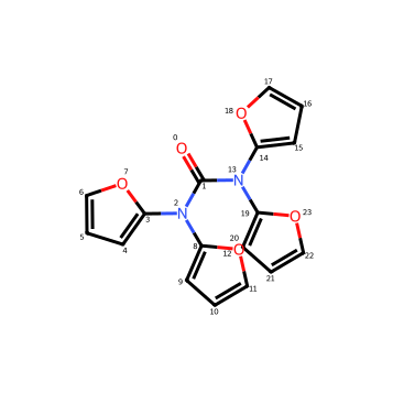 O=C(N(c1ccco1)c1ccco1)N(c1ccco1)c1ccco1